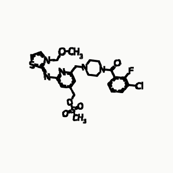 COCn1ccsc1=Nc1cc(COS(C)(=O)=O)cc(CN2CCN(C(=O)c3cccc(Cl)c3F)CC2)n1